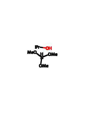 CC(C)O.CO[SiH](OC)OC